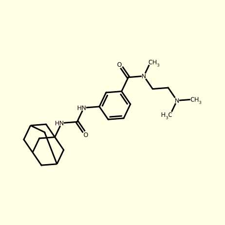 CN(C)CCN(C)C(=O)c1cccc(NC(=O)NC23CC4CC(CC(C4)C2)C3)c1